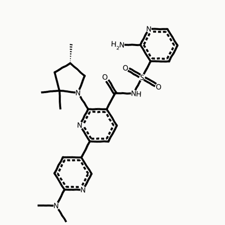 C[C@@H]1CN(c2nc(-c3ccc(N(C)C)nc3)ccc2C(=O)NS(=O)(=O)c2cccnc2N)C(C)(C)C1